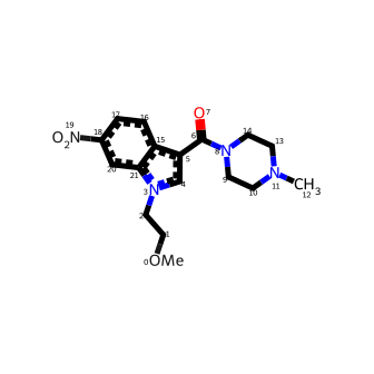 COCCn1cc(C(=O)N2CCN(C)CC2)c2ccc([N+](=O)[O-])cc21